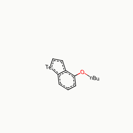 CCCCOc1cccc2[te]ccc12